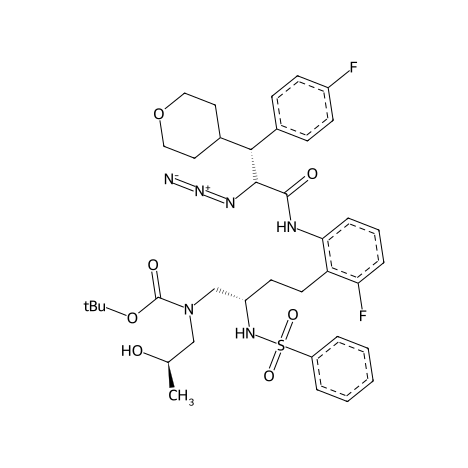 C[C@@H](O)CN(C[C@H](CCc1c(F)cccc1NC(=O)C(N=[N+]=[N-])[C@@H](c1ccc(F)cc1)C1CCOCC1)NS(=O)(=O)c1ccccc1)C(=O)OC(C)(C)C